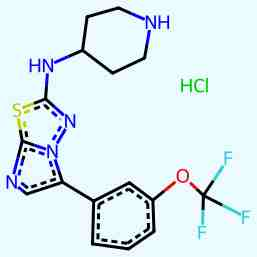 Cl.FC(F)(F)Oc1cccc(-c2cnc3sc(NC4CCNCC4)nn23)c1